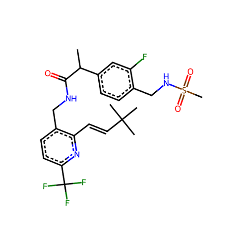 CC(C(=O)NCc1ccc(C(F)(F)F)nc1C=CC(C)(C)C)c1ccc(CNS(C)(=O)=O)c(F)c1